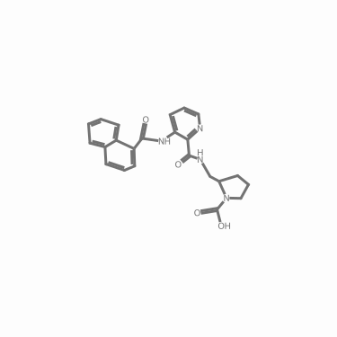 O=C(NCC1CCCN1C(=O)O)c1ncccc1NC(=O)c1cccc2ccccc12